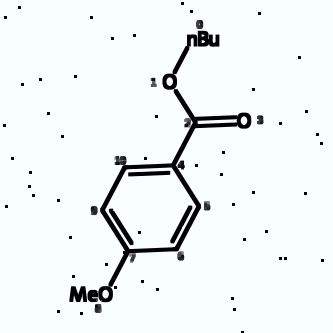 CCCCOC(=O)c1ccc(OC)cc1